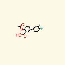 CC(=O)Oc1ccc(-c2ccc(F)c(C)c2)cc1C(=O)O